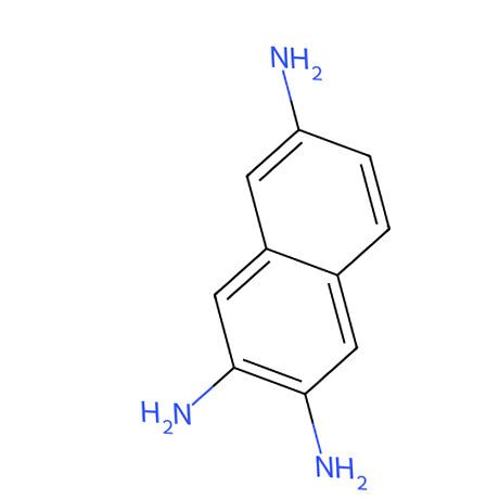 Nc1ccc2cc(N)c(N)cc2c1